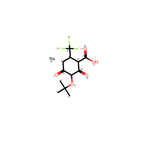 CC(C)(C)OC1C(=O)CC(C(F)(F)F)C(C(=O)O)C1=O.[Na]